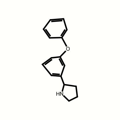 c1ccc(Oc2cccc(C3CCCN3)c2)cc1